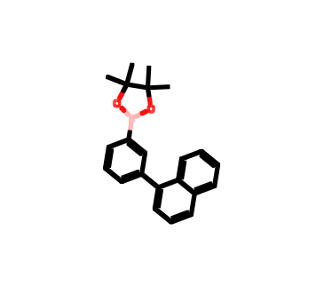 CC1(C)OB(c2cccc(-c3cccc4ccccc34)c2)OC1(C)C